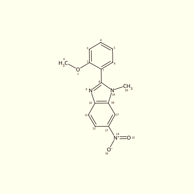 COc1ccccc1-c1nc2ccc([N+](=O)[O-])cc2n1C